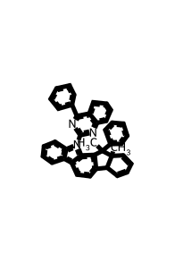 CC1(c2ccccc2)c2c(ccc3c4ccccc4n(-c4nc(-c5ccccc5)c5ccccc5n4)c23)C2C=CC=CC21C